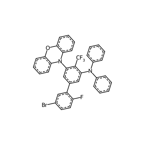 Fc1ccc(Br)cc1-c1cc(N(c2ccccc2)c2ccccc2)c(C(F)(F)F)c(N2c3ccccc3Oc3ccccc32)c1